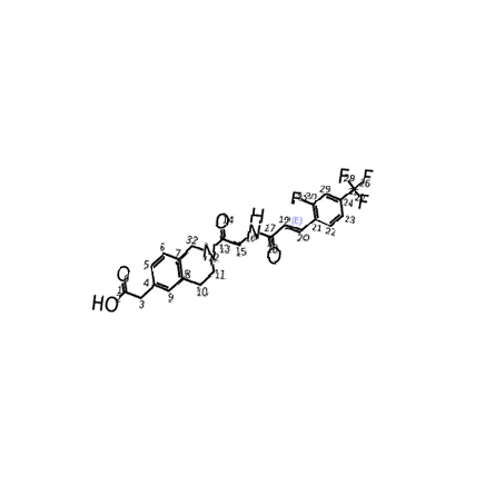 O=C(O)Cc1ccc2c(c1)CCN(C(=O)CNC(=O)/C=C/c1ccc(C(F)(F)F)cc1F)C2